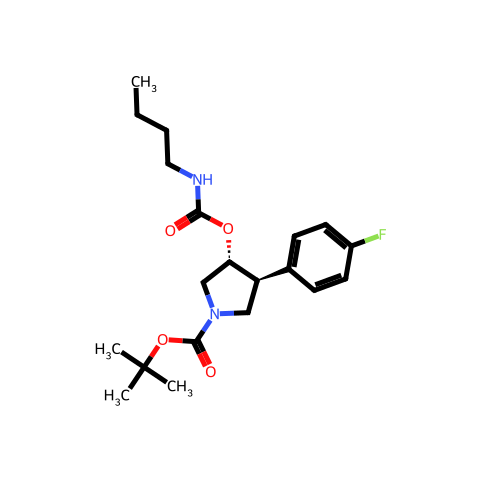 CCCCNC(=O)O[C@H]1CN(C(=O)OC(C)(C)C)C[C@@H]1c1ccc(F)cc1